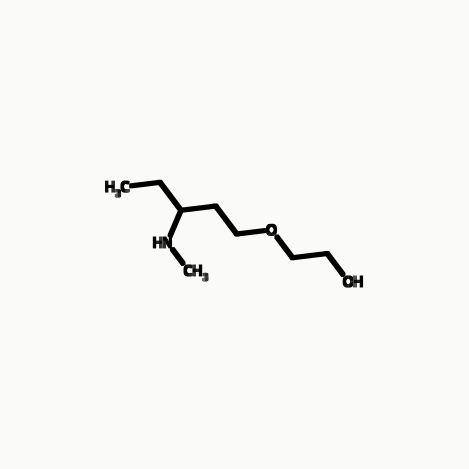 CCC(CCOCCO)NC